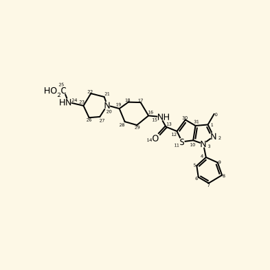 Cc1nn(-c2ccccc2)c2sc(C(=O)NC3CCC(N4CCC(NC(=O)O)CC4)CC3)cc12